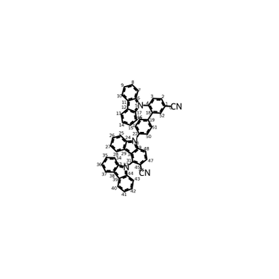 N#Cc1ccc(-n2c3ccccc3c3ccccc32)c(-c2ccc(-n3c4ccccc4c4c(-n5c6ccccc6c6ccccc65)c(C#N)ccc43)cc2)c1